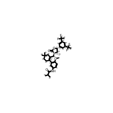 COc1ccc(NC(=O)C(C)C)cc1C1=C(CN2C(=O)O[C@H](c3cc(C(F)(F)F)cc(C(F)(F)F)c3)[C@@H]2C)CC(C)(C)CC1